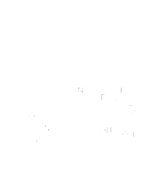 O=C(O)C(O)(c1cn(Cc2ccccc2)c2cc([N+](=O)[O-])ccc12)C(F)(F)F